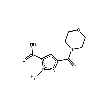 Cn1nc(C(=O)N2CCOCC2)cc1C(N)=O